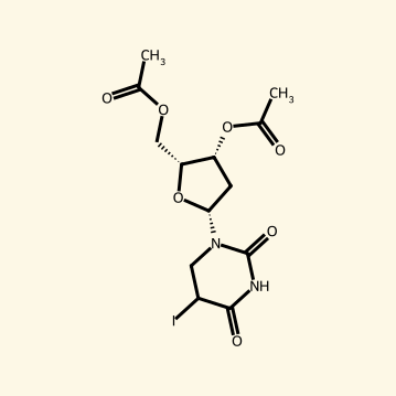 CC(=O)OC[C@H]1O[C@@H](N2CC(I)C(=O)NC2=O)C[C@H]1OC(C)=O